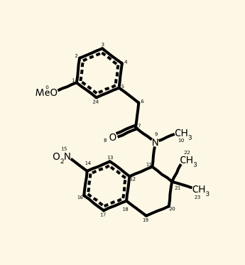 COc1cccc(CC(=O)N(C)C2c3cc([N+](=O)[O-])ccc3CCC2(C)C)c1